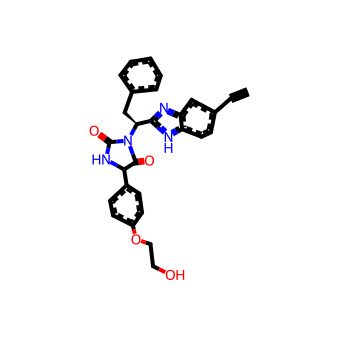 C#Cc1ccc2[nH]c([C@H](Cc3ccccc3)N3C(=O)NC(c4ccc(OCCO)cc4)C3=O)nc2c1